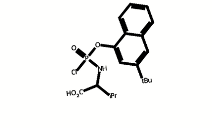 CC(C)C(NP(=O)(Cl)Oc1cc(C(C)(C)C)cc2ccccc12)C(=O)O